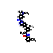 Cc1cccc(C(=O)NC(C)c2ccc(C)c(-c3ccc4nc(Nc5ccc(N(C)C)cc5)ncc4c3)c2)c1